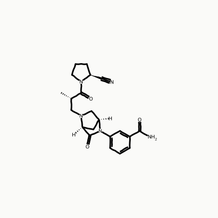 C[C@@H](CN1C[C@@H]2C[C@H]1C(=O)N2c1cccc(C(N)=O)c1)C(=O)N1CCC[C@H]1C#N